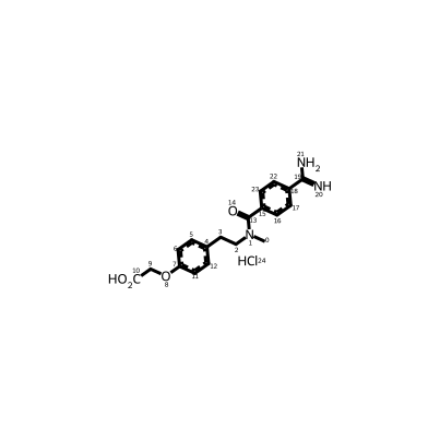 CN(CCc1ccc(OCC(=O)O)cc1)C(=O)c1ccc(C(=N)N)cc1.Cl